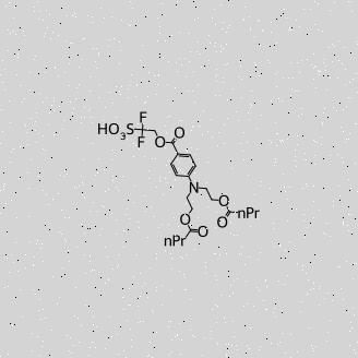 CCCC(=O)OCCN(CCOC(=O)CCC)c1ccc(C(=O)OCC(F)(F)S(=O)(=O)O)cc1